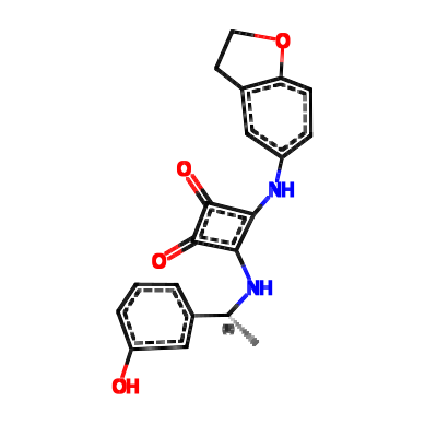 C[C@@H](Nc1c(Nc2ccc3c(c2)CCO3)c(=O)c1=O)c1cccc(O)c1